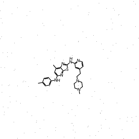 Cc1ccc(Nc2cc(C)c3nc(Nc4cc(CCN5CCN(C)CC5)ccn4)sc3n2)cc1